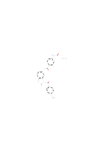 CC(C)(C)OC(=O)Nc1ccc(C(=O)Oc2ccc3c(c2)N(C(=O)c2ccc(N)cc2)C(C(=O)O)C3)cc1